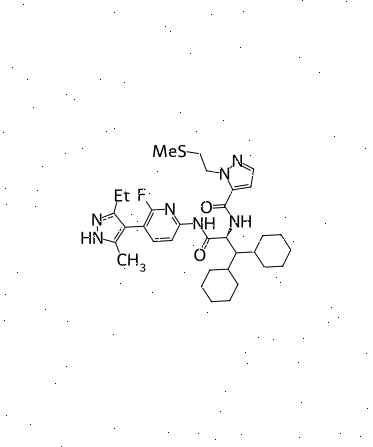 CCc1n[nH]c(C)c1-c1ccc(NC(=O)[C@@H](NC(=O)c2ccnn2CCSC)C(C2CCCCC2)C2CCCCC2)nc1F